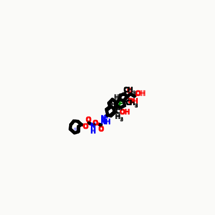 C[C@@H]1C[C@H]2[C@@H]3CCC4=C/C(=N/NC(=O)ONC(=O)OC5/C=C/CCCCC5)C=C[C@]4(C)[C@@]3(F)[C@@H](O)C[C@]2(C)[C@@]1(O)C(=O)CO